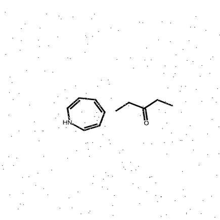 C1=CC=CNC=C1.CCC(=O)CC